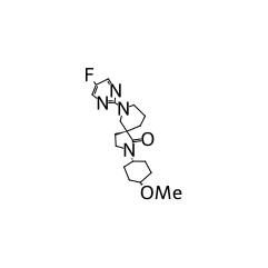 CO[C@H]1CC[C@H](N2CC[C@@]3(CCCN(c4ncc(F)cn4)C3)C2=O)CC1